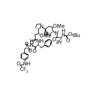 CCC(C)[C@@H]([C@@H](CC(=O)N1CCC[C@H]1[C@H](OC)[C@@H](C)C(=O)N[C@@H](Cc1ccccc1)C(=O)NS(=O)(=O)Cc1ccc(NC(=O)C(F)(F)F)cc1)OC)N(C)C(=O)[C@@H](NC(=O)OC(C)(C)C)C(C)C